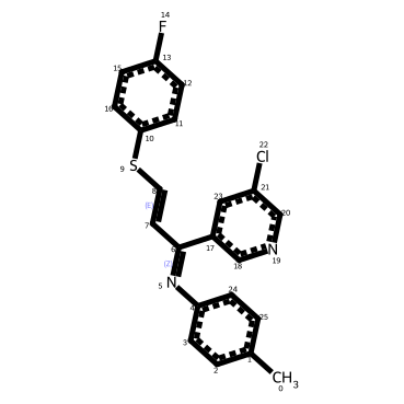 Cc1ccc(/N=C(/C=C/Sc2ccc(F)cc2)c2cncc(Cl)c2)cc1